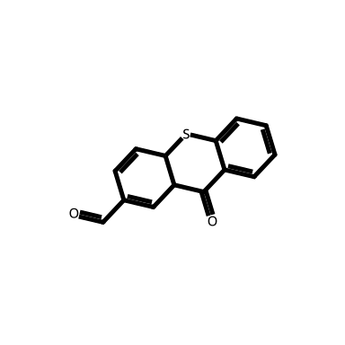 O=CC1=CC2C(=O)c3ccccc3SC2C=C1